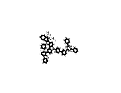 CC1(C)c2ccccc2-c2c1c1ccc3c(c4cc(-c5cccc6c5sc5ccccc56)ccc4n3-c3ccc(-c4cccc(-c5nc(-c6ccccc6)nc(-c6ccccc6)n5)c4)cc3)c1n2-c1ccccc1